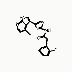 O=C(Cc1ccccc1F)Nc1nc(-c2c[nH]c3nccc(F)c23)cs1